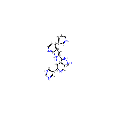 c1cncc(-c2ccnc3[nH]c(-c4n[nH]c5cnc(-c6cncnc6)cc45)cc23)c1